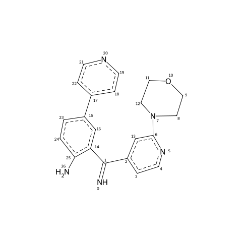 N=C(c1ccnc(N2CCOCC2)c1)c1cc(-c2ccncc2)ccc1N